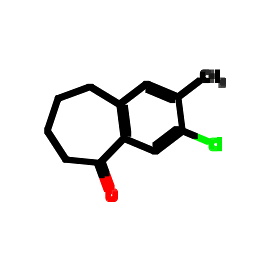 Cc1cc2c(cc1Cl)C(=O)CCCC2